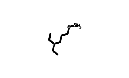 CCN(CC)CCCO[SiH3]